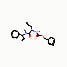 C=CC[C@H](NC(=O)OCc1ccccc1)C(=O)N(C)C(C=C)c1ccccc1